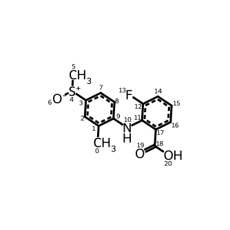 Cc1cc([S+](C)[O-])ccc1Nc1c(F)cccc1C(=O)O